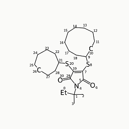 CCC(C)(C)N1C(=O)C(SC2CCCCCCCCC2)=C(SC2CCCCCCC2)C1=O